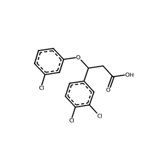 O=C(O)CC(Oc1cccc(Cl)c1)c1ccc(Cl)c(Cl)c1